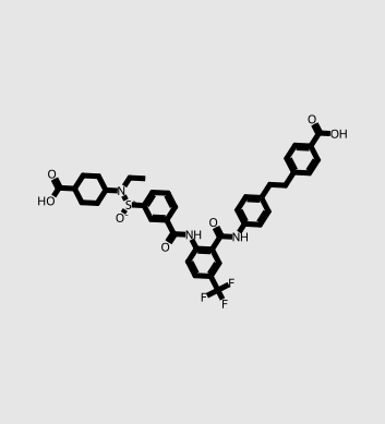 CCN(C1CCC(C(=O)O)CC1)[S+]([O-])c1cccc(C(=O)Nc2ccc(C(F)(F)F)cc2C(=O)Nc2ccc(CCc3ccc(C(=O)O)cc3)cc2)c1